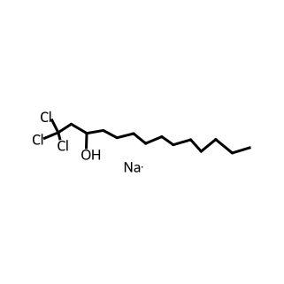 CCCCCCCCCCCC(O)CC(Cl)(Cl)Cl.[Na]